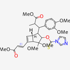 COC(=O)/C=C/C1=C[C@@H]2C(C(c3ccc(OC)c(OC)c3)C(C)C(=O)OC)C(OC(=S)n3ccnc3)C(OC)(OC)C12